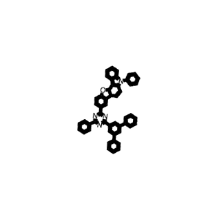 C1=CC2c3cc(-c4nc(-c5ccccc5)nc(-c5cc(-c6ccccc6)cc(-c6ccccc6)c5)n4)ccc3OC2c2c1n(-c1ccccc1)c1ccccc21